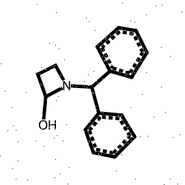 OC1CCN1C(c1ccccc1)c1ccccc1